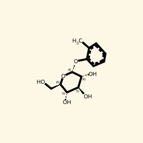 Cc1ccccc1O[C@H]1O[C@H](CO)[C@@H](O)[C@H](O)[C@H]1O